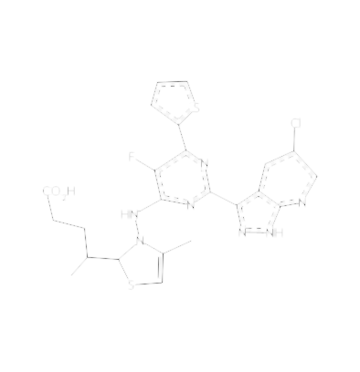 CC1=CSC(C(C)CCC(=O)O)N1Nc1nc(-c2n[nH]c3ncc(Cl)cc23)nc(-c2cccs2)c1F